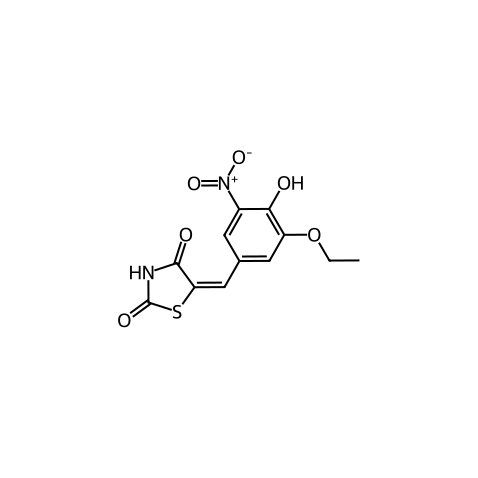 CCOc1cc(C=C2SC(=O)NC2=O)cc([N+](=O)[O-])c1O